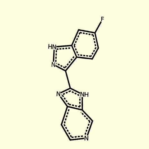 Fc1ccc2c(-c3nc4ccncc4[nH]3)n[nH]c2c1